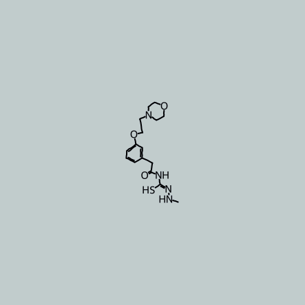 CN/N=C(\S)NC(=O)Cc1cccc(OCCN2CCOCC2)c1